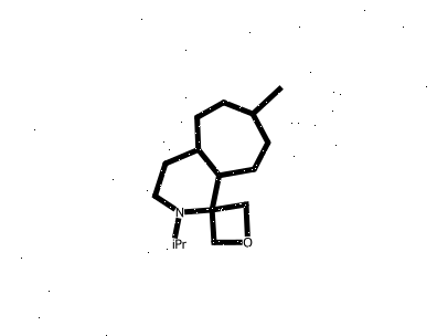 CC1CCC2CCN(C(C)C)C3(COC3)C2CC1